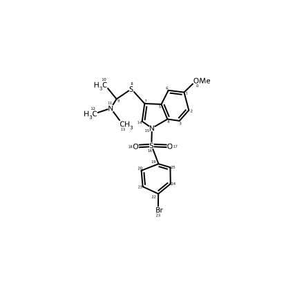 COc1ccc2c(c1)c(SC(C)N(C)C)cn2S(=O)(=O)c1ccc(Br)cc1